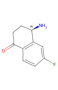 N[C@@H]1CCC(=O)c2ccc(F)cc21